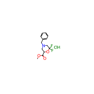 COC(=O)C1CN(Cc2ccccc2)CC(F)(F)O1.Cl